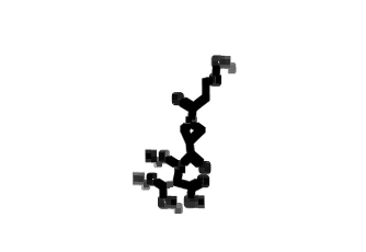 COCCC(=O)N1CC(C(=O)N(C)[C@H](C(=O)O)C(C)C)C1